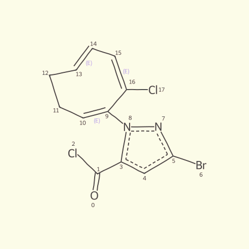 O=C(Cl)c1cc(Br)nn1C1=C/CC/C=C/C=C\1Cl